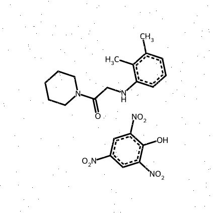 Cc1cccc(NCC(=O)N2CCCCC2)c1C.O=[N+]([O-])c1cc([N+](=O)[O-])c(O)c([N+](=O)[O-])c1